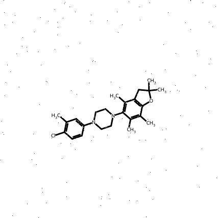 Cc1cc(N2CCN(c3c(C)c(C)c4c(c3C)CC(C)(C)O4)CC2)ccc1Cl